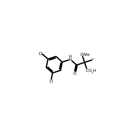 COC(F)(C(=O)O)C(=O)Nc1cc(Cl)cc(Cl)c1